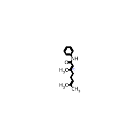 CC(C)=CCC/C(C)=C/C(=O)Nc1ccccc1